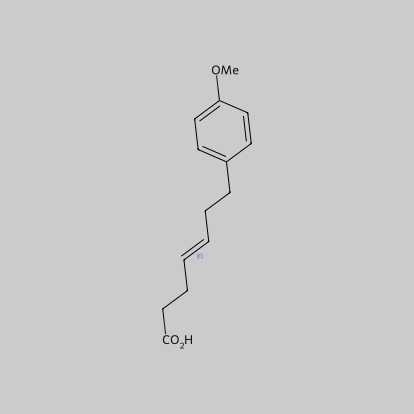 COc1ccc(CC/C=C/CCC(=O)O)cc1